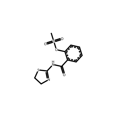 CS(=O)(=O)Oc1ccccc1C(=O)NC1=NCCS1